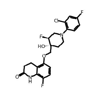 O=C1CCc2c(OC[C@]3(O)CCN(c4ccc(F)cc4Cl)C[C@@H]3F)ccc(F)c2N1